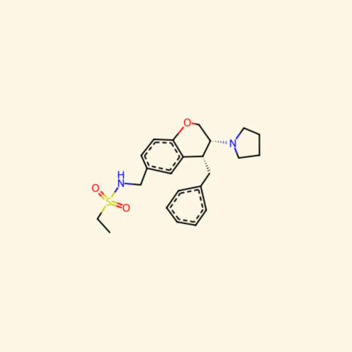 CCS(=O)(=O)NCc1ccc2c(c1)[C@@H](Cc1ccccc1)[C@@H](N1CCCC1)CO2